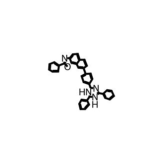 c1ccc(C2=NC(c3ccc(-c4ccc5ccc6nc(-c7ccccc7)oc6c5c4)cc3)NC(c3ccccc3)N2)cc1